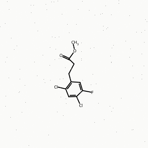 COC(=O)CCc1cc(F)c(Cl)cc1Cl